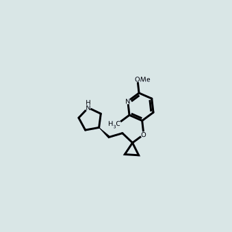 COc1ccc(OC2(CC[C@H]3CCNC3)CC2)c(C)n1